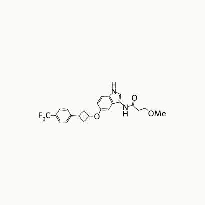 COCCC(=O)Nc1c[nH]c2ccc(O[C@H]3C[C@H](c4ccc(C(F)(F)F)cc4)C3)cc12